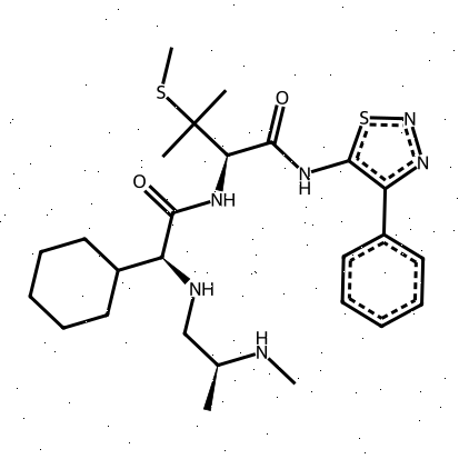 CN[C@@H](C)CN[C@H](C(=O)N[C@H](C(=O)Nc1snnc1-c1ccccc1)C(C)(C)SC)C1CCCCC1